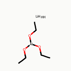 CC[O][Al]([O]CC)[O]CC.[HH].[LiH]